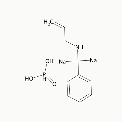 C=CCN[C]([Na])([Na])c1ccccc1.O=[PH](O)O